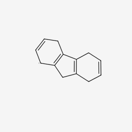 [CH]1C=CCC2=C1CC1=C2CC=CC1